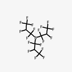 FC(C(F)(F)F)C(F)(F)B(C(F)(F)C(F)C(F)(F)F)C(F)(F)C(F)C(F)(F)F